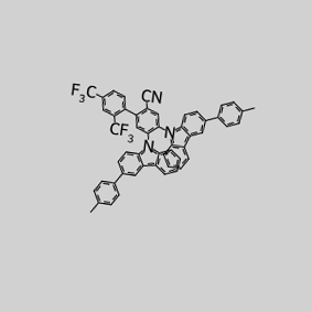 Cc1ccc(-c2ccc3c(c2)c2ccccc2n3-c2cc(C#N)c(-c3ccc(C(F)(F)F)cc3C(F)(F)F)cc2-n2c3ccccc3c3cc(-c4ccc(C)cc4)ccc32)cc1